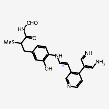 CSC(Cc1ccc(N/C=C/c2cnccc2/C(C=N)=C/N)c(O)c1)C(=O)NC=O